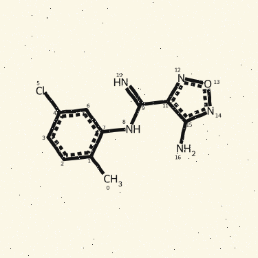 Cc1ccc(Cl)cc1NC(=N)c1nonc1N